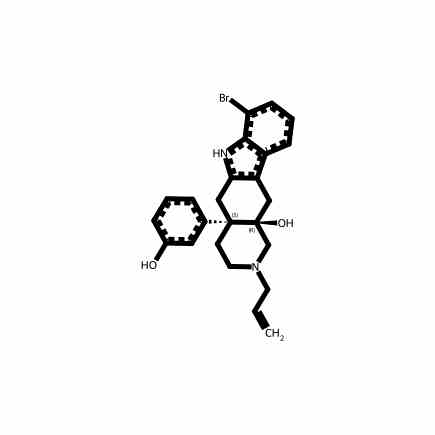 C=CCN1CC[C@@]2(c3cccc(O)c3)Cc3[nH]c4c(Br)cccc4c3C[C@]2(O)C1